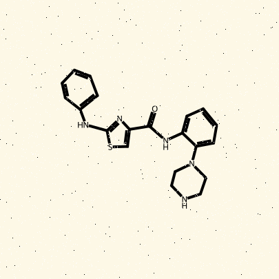 O=C(Nc1ccccc1N1CCNCC1)c1csc(Nc2ccccc2)n1